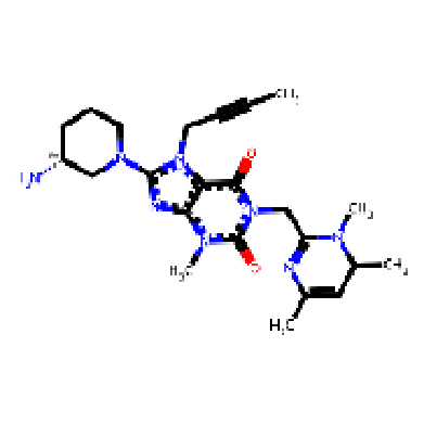 CC#CCn1c(N2CCC[C@@H](N)C2)nc2c1c(=O)n(CC1=NC(C)=CC(C)N1C)c(=O)n2C